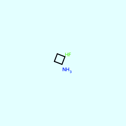 C1CCC1.F.N